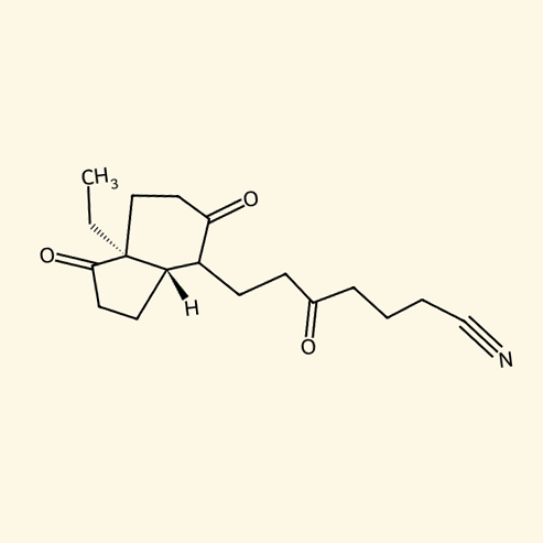 CC[C@]12CCC(=O)C(CCC(=O)CCCC#N)[C@@H]1CCC2=O